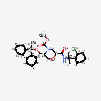 CC(C)(C)OC(=O)N1C[C@@H](C(=O)NC(C)(C)c2ccccc2Cl)OC[C@H]1CO[Si](c1ccccc1)(c1ccccc1)C(C)(C)C